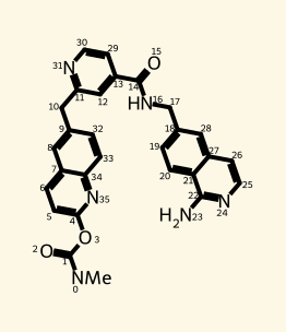 CNC(=O)Oc1ccc2cc(Cc3cc(C(=O)NCc4ccc5c(N)nccc5c4)ccn3)ccc2n1